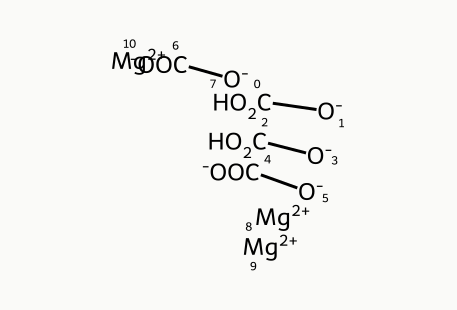 O=C([O-])O.O=C([O-])O.O=C([O-])[O-].O=C([O-])[O-].[Mg+2].[Mg+2].[Mg+2]